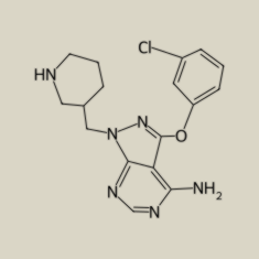 Nc1ncnc2c1c(Oc1cccc(Cl)c1)nn2CC1CCCNC1